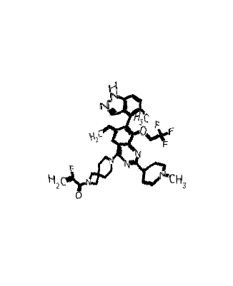 C=Cc1cc2c(N3CCC4(CC3)CN(C(=O)C(=C)F)C4)nc(C3CCN(C)CC3)nc2c(OCC(F)(F)F)c1-c1c(C)ccc2[nH]ncc12